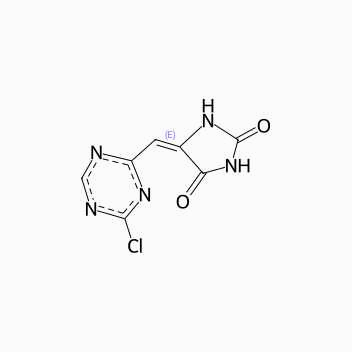 O=C1NC(=O)/C(=C\c2ncnc(Cl)n2)N1